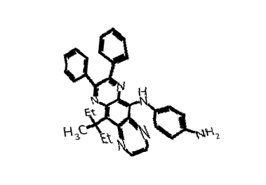 CCC(C)(CC)c1c2nccnc2c(Nc2ccc(N)cc2)c2nc(-c3ccccc3)c(-c3ccccc3)nc12